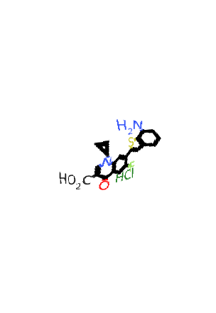 Cl.NC1CCCc2cc(-c3cc4c(cc3F)c(=O)c(C(=O)O)cn4C3CC3)sc21